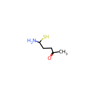 CC(=O)CC[C](N)S